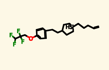 C=CCCC[SiH]1CCC(CCc2ccc(OCC(F)(F)C(F)F)cc2)CC1